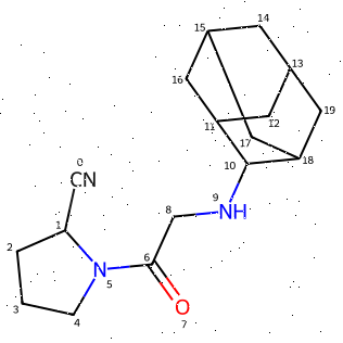 N#CC1CCCN1C(=O)CNC1C2CC3CC(C2)CC1C3